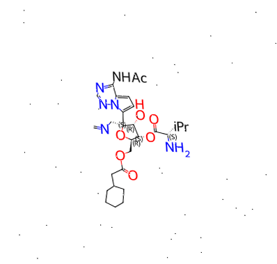 C=NC[C@@]1(c2ccc3c(NC(C)=O)ncnn23)O[C@H](COC(=O)CC2CCCCC2)[C@@H](OC(=O)[C@@H](N)C(C)C)[C@H]1O